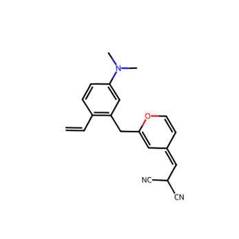 C=Cc1ccc(N(C)C)cc1CC1=CC(=CC(C#N)C#N)C=CO1